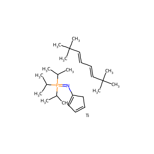 CC(C)(C)C=CC=CC(C)(C)C.CC(C)P(=NC1=CC=CC1)(C(C)C)C(C)C.[Ti]